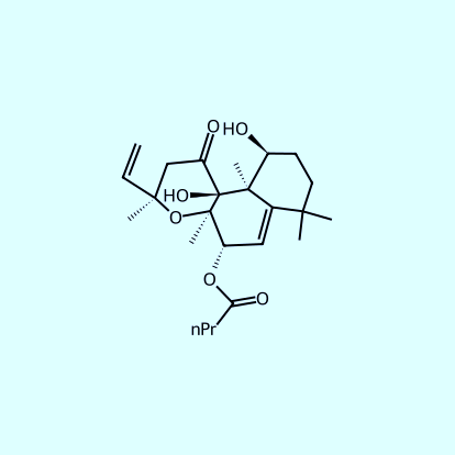 C=C[C@@]1(C)CC(=O)[C@@]2(O)[C@](C)(O1)[C@@H](OC(=O)CCC)C=C1C(C)(C)CC[C@H](O)[C@@]12C